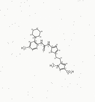 Cc1ccc(NC(=O)Nc2ncc(CCc3nc(C(=O)O)cn3C)s2)c(N2CCCCC2)c1